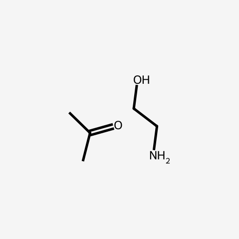 CC(C)=O.NCCO